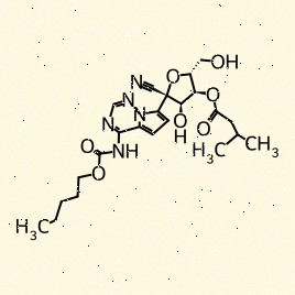 CCCCCOC(=O)Nc1ncnn2c([C@]3(C#N)O[C@H](CO)[C@@H](OC(=O)CC(C)C)[C@H]3O)ccc12